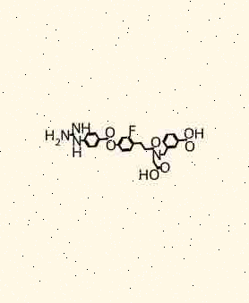 N=C(N)Nc1ccc(C(=O)Oc2ccc(CCC(=O)N(CC(=O)O)Cc3cccc(C(=O)O)c3)c(F)c2)cc1